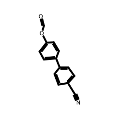 N#Cc1ccc(-c2ccc(OC=O)cc2)cc1